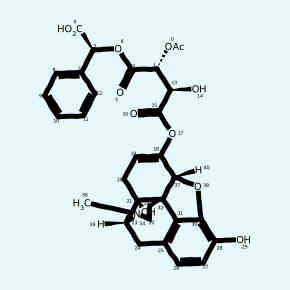 CC(=O)O[C@@H](C(=O)O[C@H](C(=O)O)c1ccccc1)[C@@H](O)C(=O)OC1=CC[C@@]2(O)[C@H]3Cc4ccc(O)c5c4[C@@]2(CCN3C)[C@H]1O5